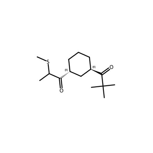 CSC(C)C(=O)[C@@H]1CCC[C@@H](C(=O)C(C)(C)C)C1